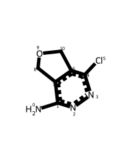 Nc1nnc(Cl)c2c1COC2